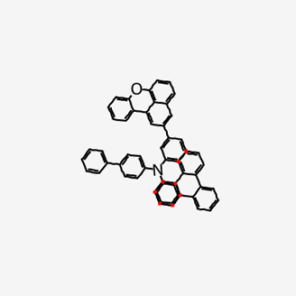 c1ccc(-c2ccc(N(c3cccc(-c4cc5c6c(cccc6c4)Oc4ccccc4-5)c3)c3ccccc3-c3ccccc3-c3ccccc3-c3ccccc3)cc2)cc1